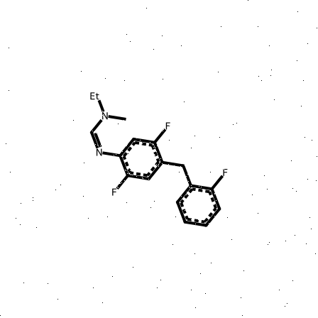 CCN(C)/C=N\c1cc(F)c(Cc2ccccc2F)cc1F